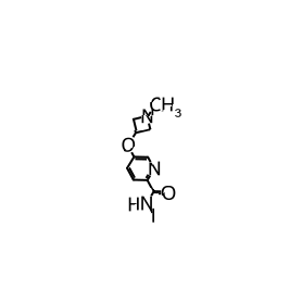 CN1CC(Oc2ccc(C(=O)NI)nc2)C1